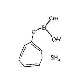 OB(O)Oc1ccccc1.[SiH4]